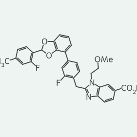 COCCn1c(Cc2ccc(-c3cccc4c3OC(c3ccc(C)cc3F)O4)cc2F)nc2ccc(C(=O)O)cc21